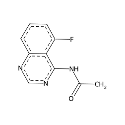 CC(=O)Nc1ncnc2cccc(F)c12